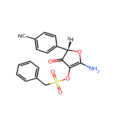 [2H][C@@]1(c2ccc(C#N)cc2)OC(N)=C(OS(=O)(=O)Cc2ccccc2)C1=O